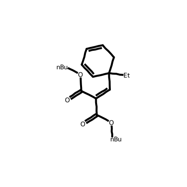 CCCCOC(=O)C(=CC1(CC)C=CC=CC1)C(=O)OCCCC